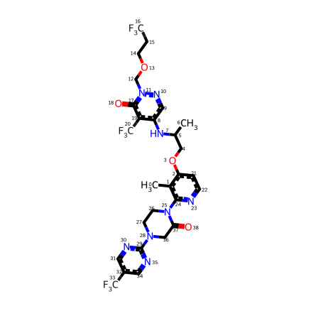 Cc1c(OCC(C)Nc2cnn(COCCC(F)(F)F)c(=O)c2C(F)(F)F)ccnc1N1CCN(c2ncc(C(F)(F)F)cn2)CC1=O